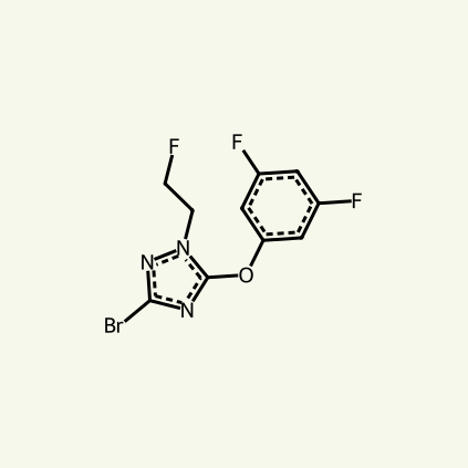 FCCn1nc(Br)nc1Oc1cc(F)cc(F)c1